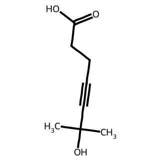 CC(C)(O)C#CCCC(=O)O